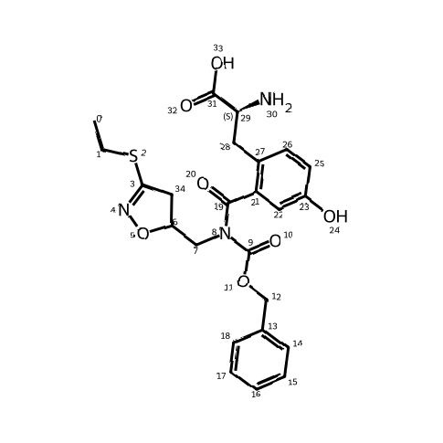 CCSC1=NOC(CN(C(=O)OCc2ccccc2)C(=O)c2cc(O)ccc2C[C@H](N)C(=O)O)C1